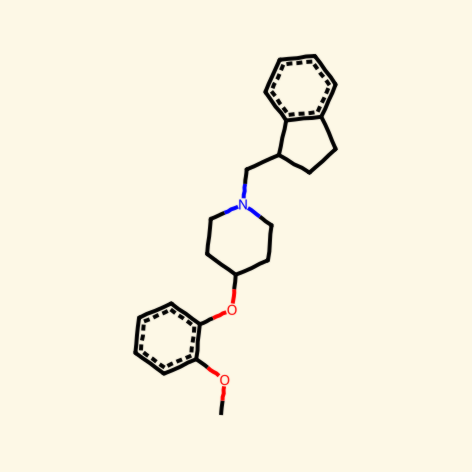 COc1ccccc1OC1CCN(CC2CCc3ccccc32)CC1